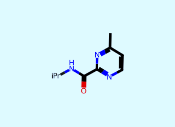 Cc1ccnc(C(=O)NC(C)C)n1